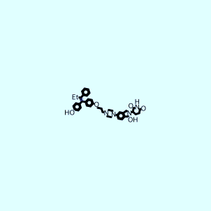 CC/C(=C(\c1ccc(O)cc1)c1ccc(OCCCN2CCN(c3ccc4c(c3)CN(C3CCC(=O)NC3=O)C4O)CC2)cc1)c1ccccc1